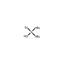 CCCC[Si](O)(CC)CCCC